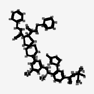 Cc1ccn(-c2cc(C(=O)OC(C)(C(F)(F)F)C(F)(F)F)ccc2[C@@H](Oc2cc(N3CCC4(CC3)C[C@@H](C(=O)OCc3ccccc3)N(C(=O)OCc3ccccc3)C4)nc(N)n2)C(F)(F)F)n1